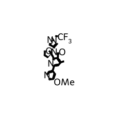 COc1cncc(-c2cc(C)c3c(n2)[C@@]2(CCCO2)N(c2cnn(CC(F)(F)F)c2)C3=O)c1